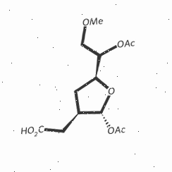 COCC(OC(C)=O)[C@@H]1C[C@H](CC(=O)O)[C@@H](OC(C)=O)O1